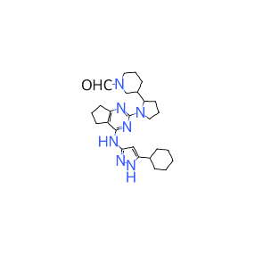 O=CN1CCCC(C2CCCN2c2nc3c(c(Nc4cc(C5CCCCC5)[nH]n4)n2)CCC3)C1